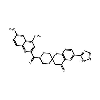 COc1ccc2nc(C(=O)N3CCC4(CC3)CC(=O)c3cc(-c5nnn[nH]5)ccc3O4)cc(OC)c2c1